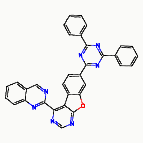 c1ccc(-c2nc(-c3ccccc3)nc(-c3ccc4c(c3)oc3ncnc(-c5ncc6ccccc6n5)c34)n2)cc1